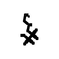 CCNOS(=O)(=O)S(=O)(=O)O